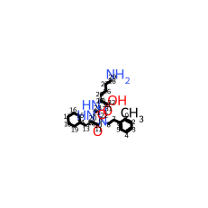 Cc1ccccc1CCNC(=O)[C@@H](CC1CCCCC1)NC(=O)N[C@@H](CCCCN)C(=O)O